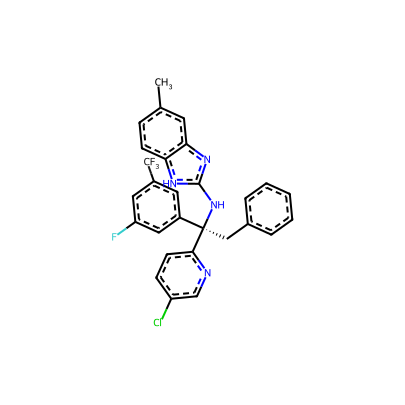 Cc1ccc2[nH]c(N[C@](Cc3ccccc3)(c3cc(F)cc(C(F)(F)F)c3)c3ccc(Cl)cn3)nc2c1